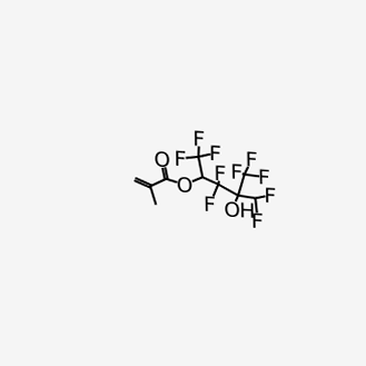 C=C(C)C(=O)OC(C(F)(F)F)C(F)(F)C(O)(C(F)F)C(F)(F)F